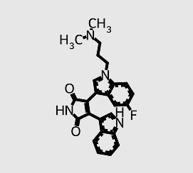 CN(C)CCCn1cc(C2=C(c3c[nH]c4ccccc34)C(=O)NC2=O)c2cc(F)ccc21